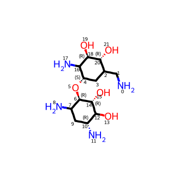 NCC1C[C@H](O[C@@H]2C(N)C[C@@H](N)C(O)[C@H]2O)C(N)[C@@H](O)[C@@H]1O